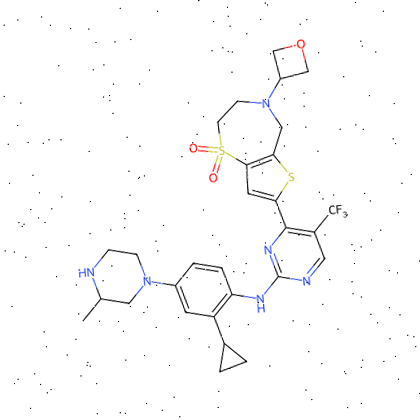 CC1CN(c2ccc(Nc3ncc(C(F)(F)F)c(-c4cc5c(s4)CN(C4COC4)CCS5(=O)=O)n3)c(C3CC3)c2)CCN1